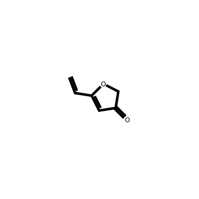 C=CC1=CC(=O)CO1